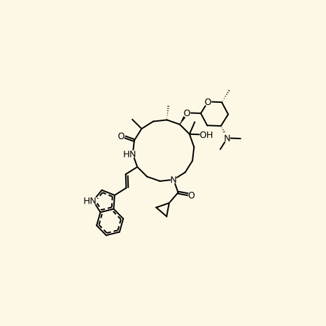 CC1C[C@H](C)[C@@H](OC2C[C@@H](N(C)C)C[C@@H](C)O2)C(C)(O)CCCN(C(=O)C2CC2)CCC(/C=C/c2c[nH]c3ccccc23)NC1=O